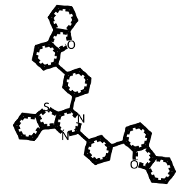 c1cc(-c2nc(-c3cccc(-c4cccc5c4oc4ccccc45)c3)c3sc4ccccc4c3n2)cc(-c2cccc3c2oc2ccccc23)c1